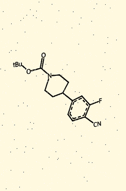 CC(C)(C)OC(=O)N1CCC(c2ccc(C#N)c(F)c2)CC1